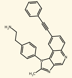 Cc1nc2cnc3ccc(C#Cc4ccccc4)cc3c2n1-c1ccc(CCN)cc1